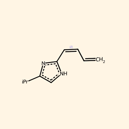 C=C/C=C\c1nc(C(C)C)c[nH]1